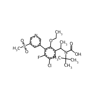 CCOc1c(C(C)N(C(=O)O)C(C)(C)C)cc(Cl)c(F)c1-c1cncc(S(C)(=O)=O)c1